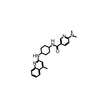 Cc1cc(NC2CCC(NC(=O)c3ccc(N(C)C)nc3)CC2)nc2ccccc12